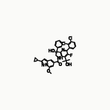 COc1cc(C(=O)NC[C@@](O)(c2ccccc2)c2cc(C(C)(C)O)c(F)c(-c3cccc(Cl)c3Cl)n2)cc2cc(C3CC3)nn12